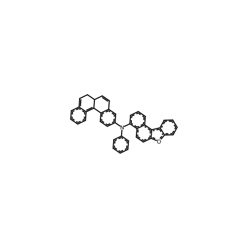 C1=CC2CC=c3ccccc3=C2c2ccc(N(c3ccccc3)c3cccc4c3ccc3oc5ccccc5c34)cc21